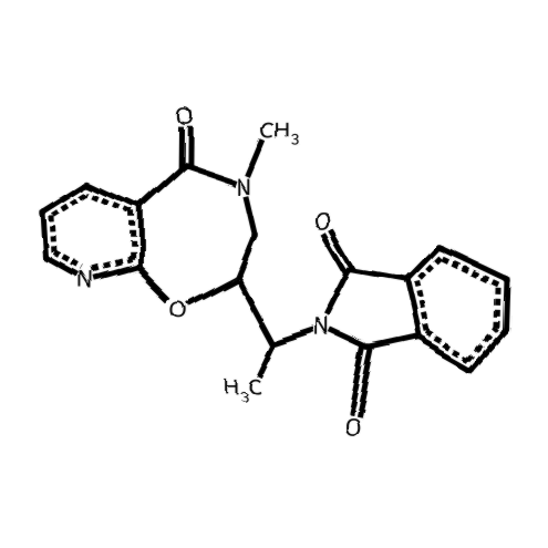 CC(C1CN(C)C(=O)c2cccnc2O1)N1C(=O)c2ccccc2C1=O